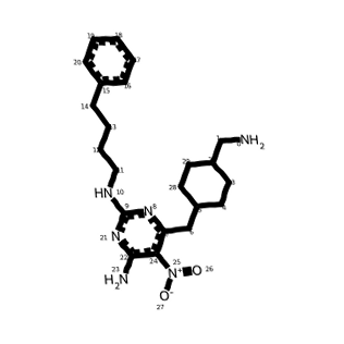 NCC1CCC(Cc2nc(NCCCCc3ccccc3)nc(N)c2[N+](=O)[O-])CC1